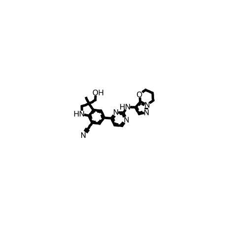 CC1(CO)CNc2c(C#N)cc(-c3ccnc(Nc4cnn5c4OCCC5)n3)cc21